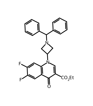 CCOC(=O)c1cn(C2CN(C(c3ccccc3)c3ccccc3)C2)c2cc(F)c(F)cc2c1=O